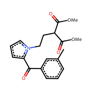 COC(=O)C(CCn1cccc1C(=O)c1cccc(C)c1)C(=O)OC